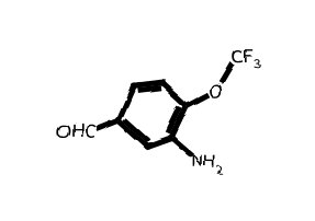 Nc1cc(C=O)ccc1OC(F)(F)F